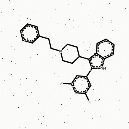 Fc1cc(F)cc(-c2[nH]c3ccccc3c2C2CCN(CCc3ccccc3)CC2)c1